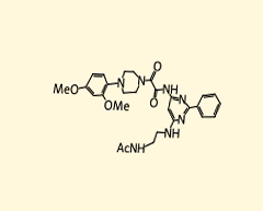 COc1ccc(N2CCN(C(=O)C(=O)Nc3cc(NCCNC(C)=O)nc(-c4ccccc4)n3)CC2)c(OC)c1